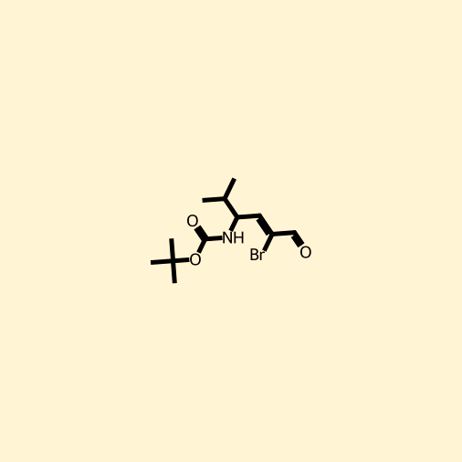 CC(C)C(/C=C(\Br)C=O)NC(=O)OC(C)(C)C